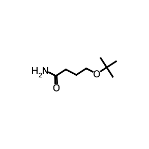 CC(C)(C)OCCCC(N)=O